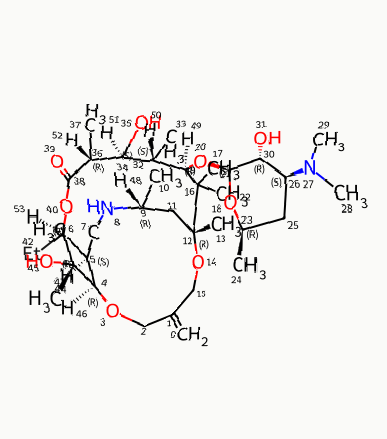 C=C1CO[C@@H]2[C@@H](C)CN[C@H](C)C[C@@](C)(OC1)C(C)(C)[C@H](O[C@@H]1O[C@H](C)C[C@H](N(C)C)[C@H]1O)[C@@H](C)[C@H](O)[C@@H](C)C(=O)O[C@H](CC)[C@@]2(C)O